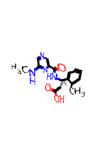 CNc1cncc(C(=O)N[C@@H](CC(=O)O)c2ccccc2C)n1